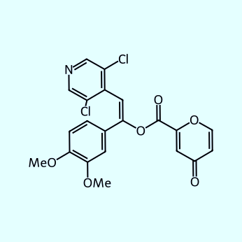 COc1ccc(/C(=C\c2c(Cl)cncc2Cl)OC(=O)c2cc(=O)cco2)cc1OC